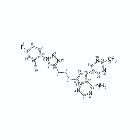 Nc1ncnn2c(CCCc3cn(-c4ccc(F)cc4F)nn3)cc(-c3cnc(C(F)(F)F)nc3)c12